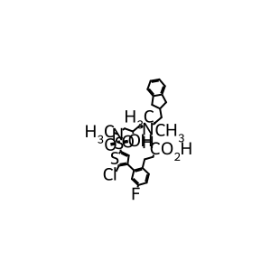 CN(C[C@H](O)CNC(C)(C)CC1Cc2ccccc2C1)S(=O)(=O)c1cc(-c2cc(F)ccc2CCC(=O)O)c(Cl)s1